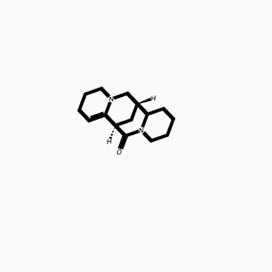 O=C1[C@@H]2C[C@H](CN3CCCC=C23)C2CCCCN12